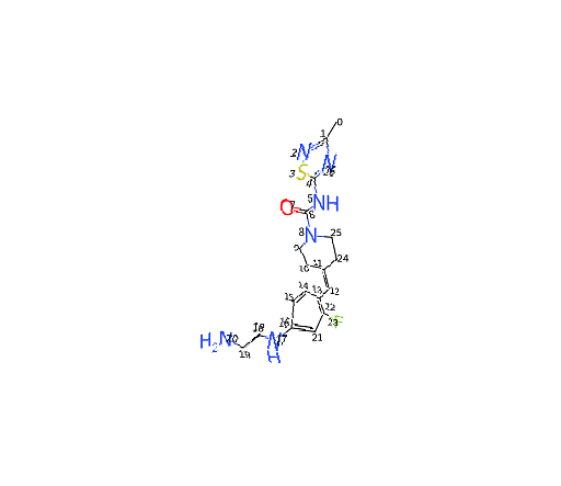 Cc1nsc(NC(=O)N2CCC(=Cc3ccc(NCCN)cc3F)CC2)n1